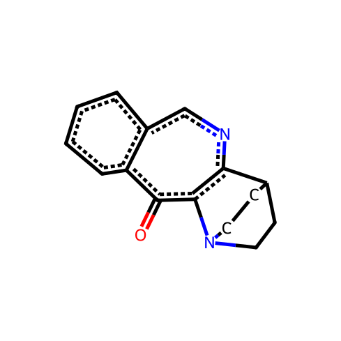 O=c1c2c(ncc3ccccc13)C1CCN2CC1